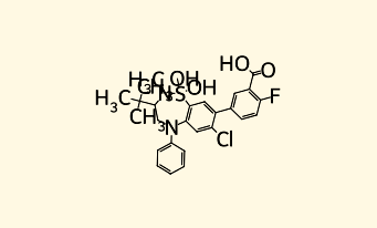 CN1C(C(C)(C)C)CN(c2ccccc2)c2cc(Cl)c(-c3ccc(F)c(C(=O)O)c3)cc2S1(O)O